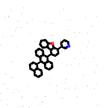 c1cncc(-c2ccc(-c3c4ccccc4c(-c4cccc5ccccc45)c4ccccc34)c3c2oc2ccccc23)c1